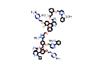 COc1ccccc1-c1nccc(COc2ccccc2C[C@@H](Oc2nsc3cnc(-c4ccc(OCc5cc(-c6ccc(C[C@@H](Oc7nsc8cnc(C9CCC9)c(-c9ccc(OCCN%10CCN(C)CC%10)c(Cl)c9C)c78)C(=O)O)c(OCc7ccnc(-c8ccccc8OC)n7)c6)n(C)n5)cc4)c(-c4ccc(OCCN5CCN(C)CC5)c(Cl)c4C)c23)C(=O)O)n1